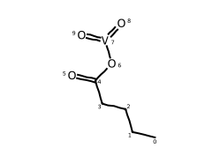 CCCCC(=O)[O][V](=[O])=[O]